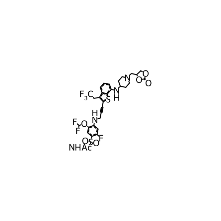 CC(=O)NS(=O)(=O)c1cc(OC(F)F)c(NCC#Cc2sc3c(NC4CCN(CC5COC(=O)O5)CC4)cccc3c2CC(F)(F)F)cc1F